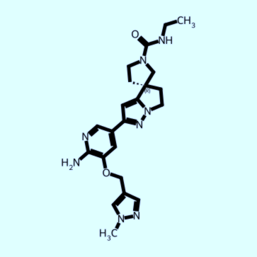 CCNC(=O)N1CC[C@@]2(CCn3nc(-c4cnc(N)c(OCc5cnn(C)c5)c4)cc32)C1